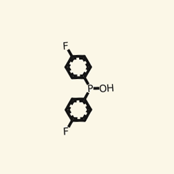 OP(c1ccc(F)cc1)c1ccc(F)cc1